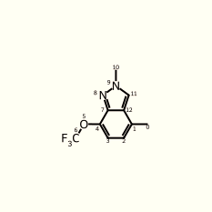 Cc1ccc(OC(F)(F)F)c2nn(C)cc12